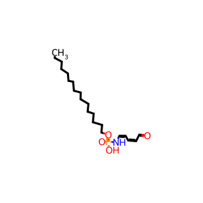 CCCCCCCCCCCCCCCCOP(=O)(O)N/C=C\C=C/C=O